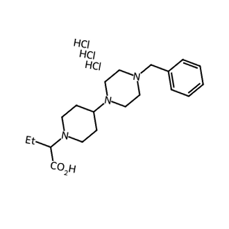 CCC(C(=O)O)N1CCC(N2CCN(Cc3ccccc3)CC2)CC1.Cl.Cl.Cl